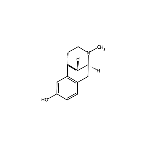 CN1CC[C@@]23CCCC[C@H]2[C@@H]1Cc1ccc(O)cc13